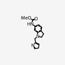 COC(=O)Nc1ccc2c(c1)N(CC1=CCC=N1)CC2